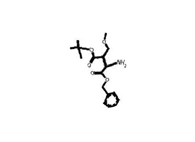 COCC(C(=O)OC(C)(C)C)C(N)C(=O)OCc1ccccc1